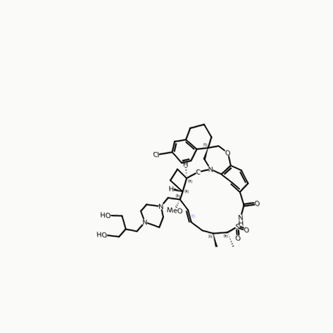 CO[C@@]1(CN2CCN(CC(CO)CO)CC2)/C=C/C[C@H](C)[C@@H](C)S(=O)(=O)NC(=O)c2ccc3c(c2)N(C[C@@H]2CC[C@H]21)C[C@@]1(CCCc2cc(Cl)ccc21)CO3